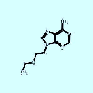 Nc1ncnc2c1ncn2CCOCP